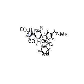 CNCc1cc(-c2cccnc2F)n(S(=O)(=O)c2cccnc2)c1.O=C(O)/C=C/C(=O)O